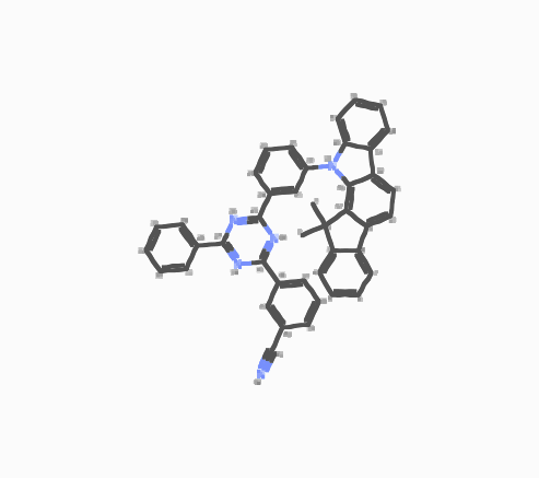 CC1(C)c2ccccc2-c2ccc3c4ccccc4n(-c4cccc(-c5nc(-c6ccccc6)nc(-c6cccc(C#N)c6)n5)c4)c3c21